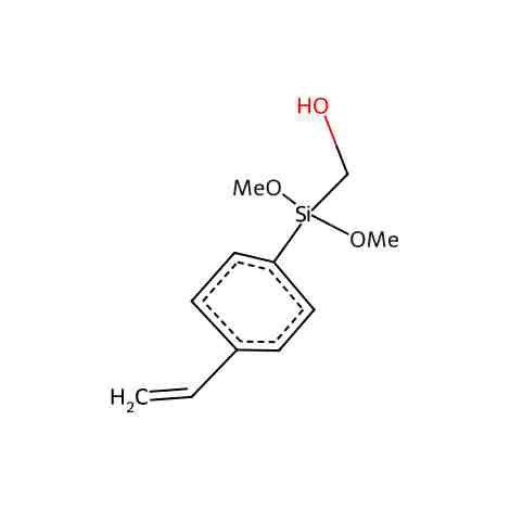 C=Cc1ccc([Si](CO)(OC)OC)cc1